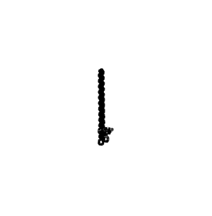 CCCCCCCCCCC=CC=CC=CC=CC=CC=COC(CC(=O)[O-])C[N+](C)(C)C